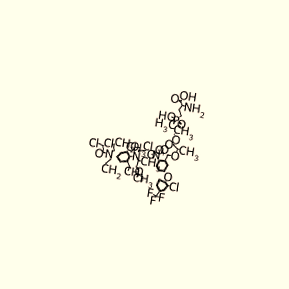 C=CCN(CC=C)C(=O)C(Cl)Cl.CCOC(=O)C(C)OC(=O)c1cc(Oc2ccc(C(F)(F)F)cc2Cl)ccc1[N+](=O)[O-].CCc1cccc(C)c1N(C(=O)CCl)C(C)COC.CP(=O)(O)CCC(N)C(=O)O